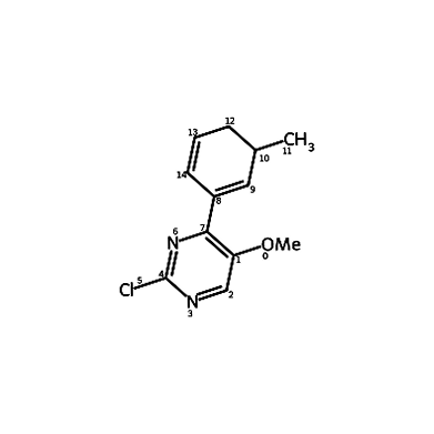 COc1cnc(Cl)nc1C1=CC(C)CC=C1